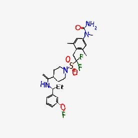 C=C(NC(CC)c1cccc(OF)c1)C1CCN(S(=O)(=O)C(F)(F)Cc2c(C)cc(N(C)C(N)=O)cc2C)CC1